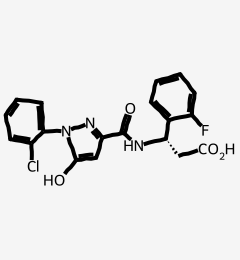 O=C(O)C[C@H](NC(=O)c1cc(O)n(-c2ccccc2Cl)n1)c1ccccc1F